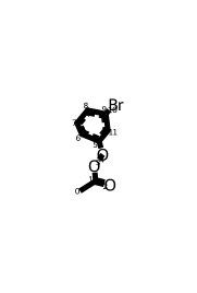 CC(=O)OOc1cccc(Br)c1